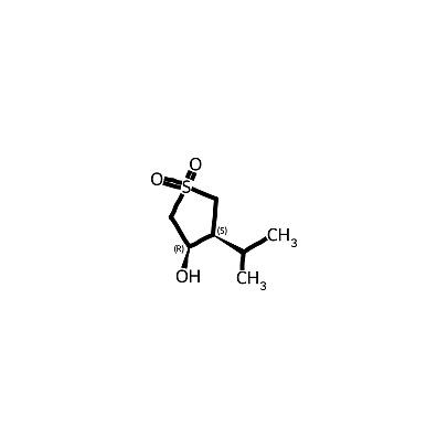 CC(C)[C@@H]1CS(=O)(=O)C[C@@H]1O